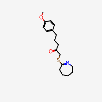 COc1ccc(CCCC(=O)CSC2=NCCCCC2)cc1